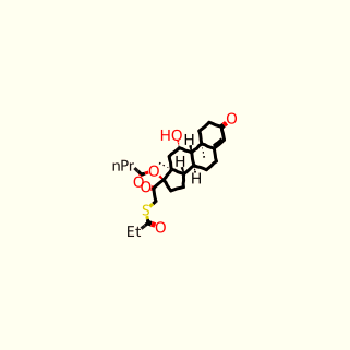 CCCC(=O)O[C@]1(C(=O)CSC(=O)CC)CC[C@H]2[C@@H]3CCC4=CC(=O)CC[C@]4(C)[C@H]3[C@@H](O)C[C@@]21C